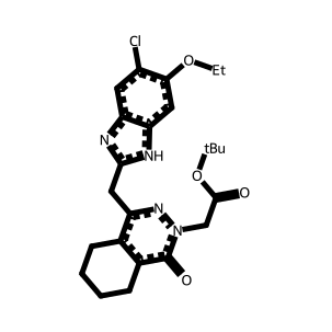 CCOc1cc2[nH]c(Cc3nn(CC(=O)OC(C)(C)C)c(=O)c4c3CCCC4)nc2cc1Cl